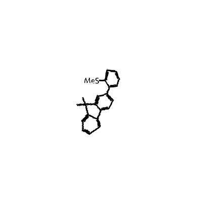 CSc1ccccc1-c1ccc2c(c1)C(C)(C)c1ccccc1-2